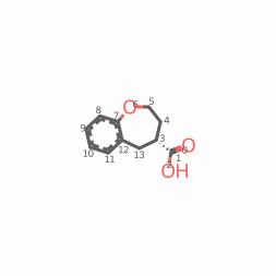 O=C(O)[C@H]1CCOc2ccccc2C1